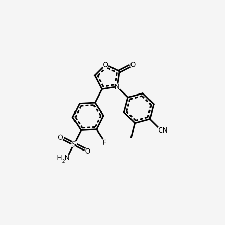 Cc1cc(-n2c(-c3ccc(S(N)(=O)=O)c(F)c3)coc2=O)ccc1C#N